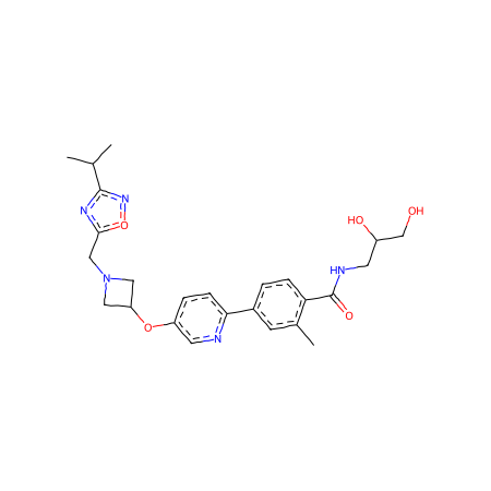 Cc1cc(-c2ccc(OC3CN(Cc4nc(C(C)C)no4)C3)cn2)ccc1C(=O)NCC(O)CO